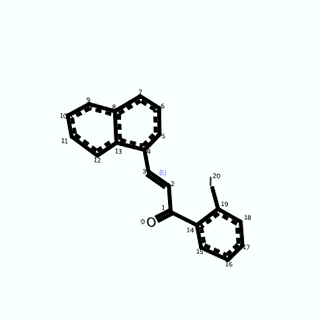 O=C(/C=C/c1cccc2ccccc12)c1ccccc1I